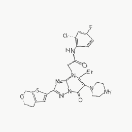 CCc1c(N2CCNCC2)c(=O)n2nc(-c3cc4c(s3)COCC4)nc2n1CC(=O)Nc1ccc(F)cc1Cl